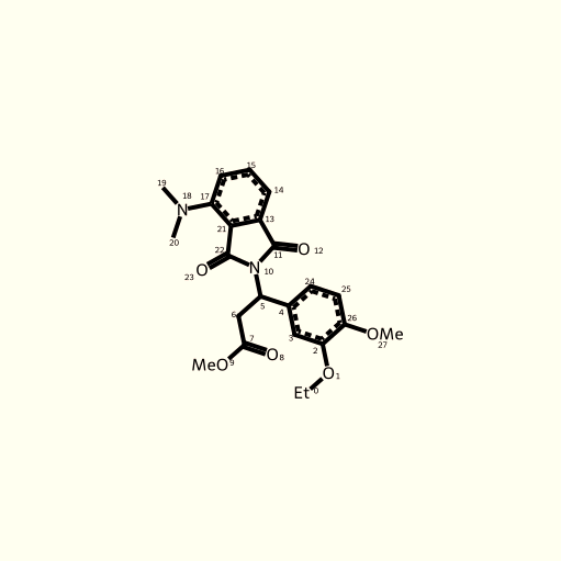 CCOc1cc(C(CC(=O)OC)N2C(=O)c3cccc(N(C)C)c3C2=O)ccc1OC